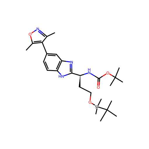 Cc1noc(C)c1-c1ccc2[nH]c([C@H](CCO[Si](C)(C)C(C)(C)C)NC(=O)OC(C)(C)C)nc2c1